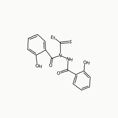 CCC(=S)N(NC(=O)c1ccccc1O)C(=O)c1ccccc1O